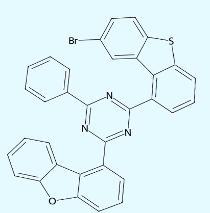 Brc1ccc2sc3cccc(-c4nc(-c5ccccc5)nc(-c5cccc6oc7ccccc7c56)n4)c3c2c1